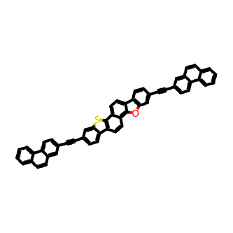 C(#Cc1ccc2c(c1)oc1c2ccc2c1ccc1c3ccc(C#Cc4ccc5c(ccc6ccccc65)c4)cc3sc12)c1ccc2c(ccc3ccccc32)c1